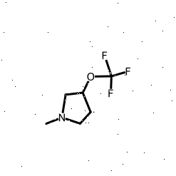 CN1C[CH]C(OC(F)(F)F)C1